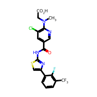 CN(CC(=O)O)c1ncc(C(=O)Nc2nc(-c3cccc(C(F)(F)F)c3F)cs2)cc1Cl